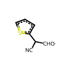 N#CC([C]=O)c1cccs1